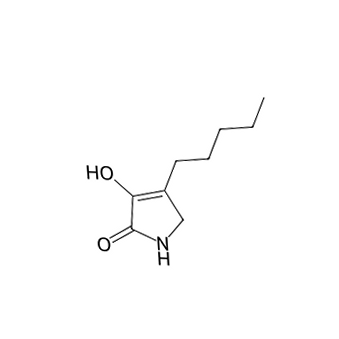 CCCCCC1=C(O)C(=O)NC1